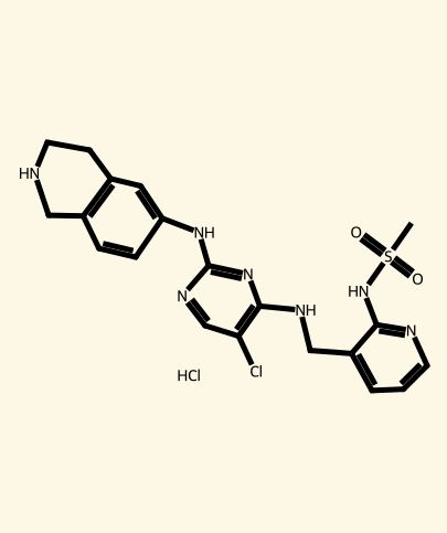 CS(=O)(=O)Nc1ncccc1CNc1nc(Nc2ccc3c(c2)CCNC3)ncc1Cl.Cl